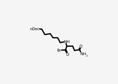 CCCCCCCCCCCCCCCCNC(CCC(N)=O)C(=O)Br